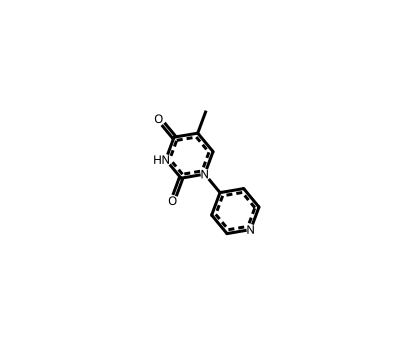 Cc1cn(-c2ccncc2)c(=O)[nH]c1=O